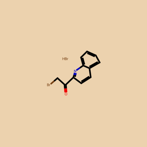 Br.O=C(CBr)c1ccc2ccccc2n1